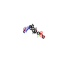 C=C(C)[C@@H]1CC[C@]2(NCCCN3CCCC3=O)CC[C@]3(C)[C@H](CC[C@@H]4[C@@]5(C)CC=C(C6=CC[C@](CF)(C(=O)OCc7ccccc7)CC6)C(C)(C)[C@@H]5CC[C@]43C)[C@@H]12